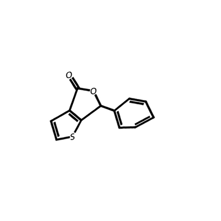 O=C1OC(c2ccccc2)c2sccc21